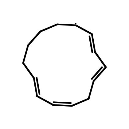 [CH]1/C=C/C=C/C/C=C\C=C\CCCC1